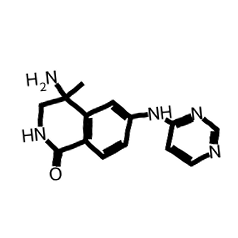 CC1(N)CNC(=O)c2ccc(Nc3ccncn3)cc21